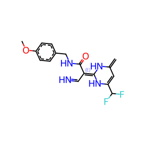 C=C1C=C(C(F)F)N/C(=C(\C=N)C(=O)NCc2ccc(OC)cc2)N1